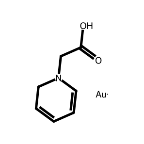 O=C(O)CN1C=CC=CC1.[Au]